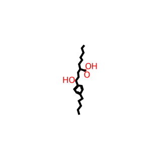 CCCCCCC(CCC(O)c1ccc(CCCCC)cc1)C(=O)O